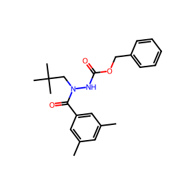 Cc1cc(C)cc(C(=O)N(CC(C)(C)C)NC(=O)OCc2ccccc2)c1